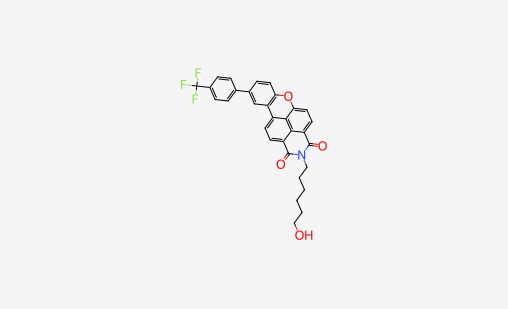 O=c1c2ccc3oc4ccc(-c5ccc(C(F)(F)F)cc5)cc4c4ccc(c(=O)n1CCCCCCO)c2c34